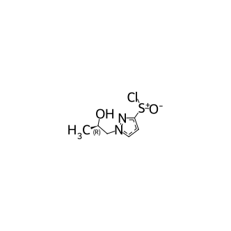 C[C@@H](O)Cn1ccc([S+]([O-])Cl)n1